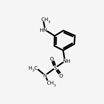 CNc1cccc(NS(=O)(=O)N(C)C)c1